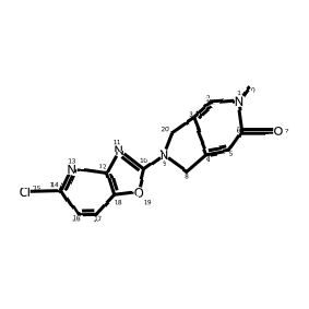 Cn1cc2c(cc1=O)CN(c1nc3nc(Cl)ccc3o1)C2